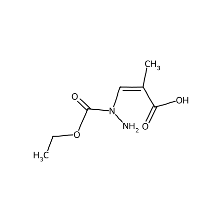 CCOC(=O)N(N)C=C(C)C(=O)O